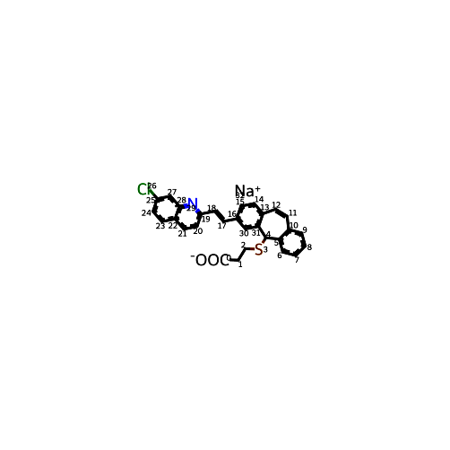 O=C([O-])CCSC1c2ccccc2C=Cc2ccc(C=Cc3ccc4ccc(Cl)cc4n3)cc21.[Na+]